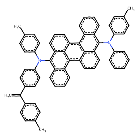 C=C(c1ccc(C)cc1)c1ccc(N(c2ccc(C)cc2)c2c3ccccc3c3c4cccc5c(N(c6ccccc6)c6ccc(C)cc6)c6ccccc6c(c6cccc2c63)c54)cc1